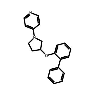 c1ccc(-c2ccccc2OC2CCN(c3ccncc3)C2)cc1